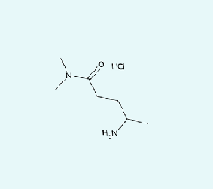 CC(N)CCC(=O)N(C)C.Cl